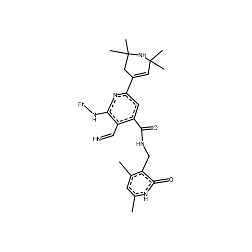 CCNc1nc(C2=CC(C)(C)NC(C)(C)C2)cc(C(=O)NCc2c(C)cc(C)[nH]c2=O)c1C=N